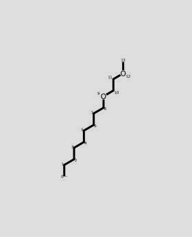 [CH2]CCCCCCCCOCCOC